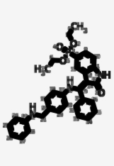 CCOP(=O)(OCC)c1ccc2c(c1)C(=C(Nc1ccc(CNc3ccccc3)cc1)c1ccccc1)C(=O)N2